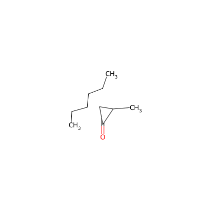 CC1CC1=O.CCCCCC